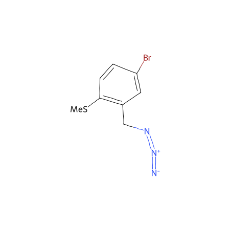 CSc1ccc(Br)cc1CN=[N+]=[N-]